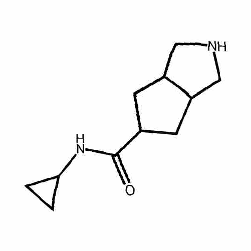 O=C(NC1CC1)C1CC2CNCC2C1